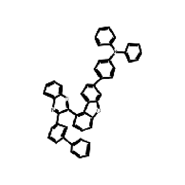 c1ccc(-c2cccc(-c3nc4ccccc4nc3-c3cccc4oc5cc(-c6ccc(N(c7ccccc7)c7ccccc7)cc6)ccc5c34)c2)cc1